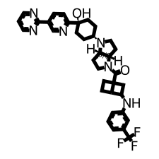 O=C(N1CC[C@H]2[C@@H]1CCN2[C@H]1CC[C@](O)(c2ccc(-c3ncccn3)cn2)CC1)C12CCC1C(Nc1cccc(C(F)(F)F)c1)C2